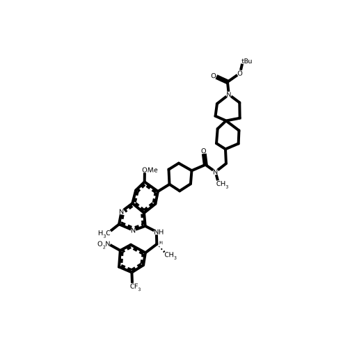 COc1cc2nc(C)nc(N[C@H](C)c3cc([N+](=O)[O-])cc(C(F)(F)F)c3)c2cc1C1CCC(C(=O)N(C)CC2CCC3(CC2)CCN(C(=O)OC(C)(C)C)CC3)CC1